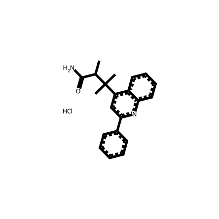 CC(C(N)=O)C(C)(C)c1cc(-c2ccccc2)nc2ccccc12.Cl